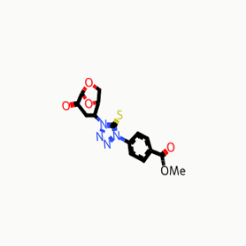 COC(=O)c1ccc(-n2nnn(C3CC(=O)C4OCC3O4)c2=S)cc1